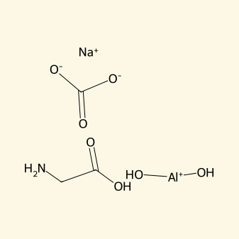 NCC(=O)O.O=C([O-])[O-].[Na+].[OH][Al+][OH]